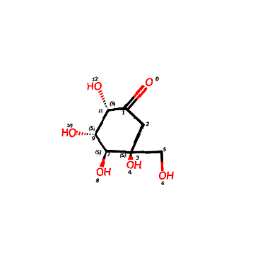 O=C1C[C@](O)(CO)[C@@H](O)[C@H](O)[C@@H]1O